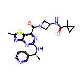 Cc1nc2nc(N[C@@H](C)c3cccnc3)nc(C(=O)N3CC(NC(=O)C4(C)CC4)C3)c2s1